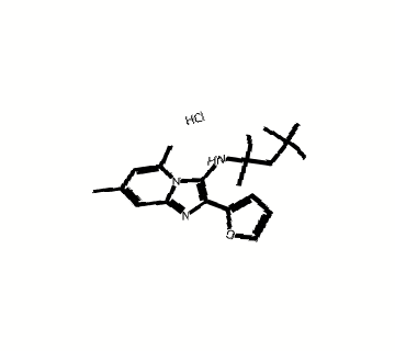 Cc1cc(C)n2c(NC(C)(C)CC(C)(C)C)c(-c3ccco3)nc2c1.Cl